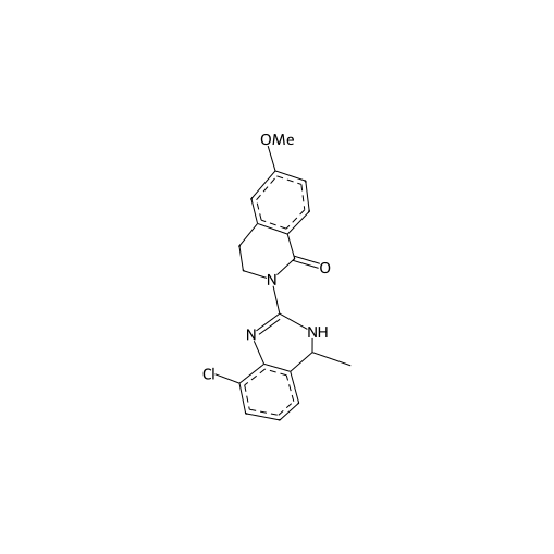 COc1ccc2c(c1)CCN(C1=Nc3c(Cl)cccc3C(C)N1)C2=O